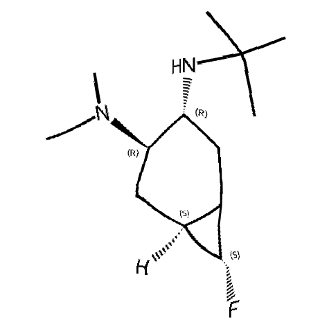 CN(C)[C@@H]1C[C@H]2C(C[C@H]1NC(C)(C)C)[C@@H]2F